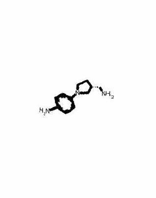 NC[C@H]1CCN(c2ccc(N)cc2)C1